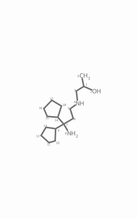 CC(O)CNCCC(N)(C1CCCC1)C1CCCC1